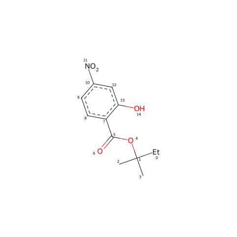 CCC(C)(C)OC(=O)c1ccc([N+](=O)[O-])cc1O